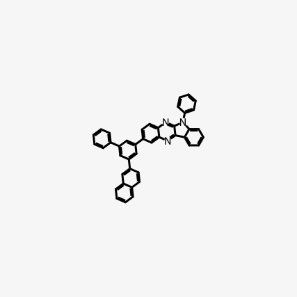 c1ccc(-c2cc(-c3ccc4ccccc4c3)cc(-c3ccc4nc5c(nc4c3)c3ccccc3n5-c3ccccc3)c2)cc1